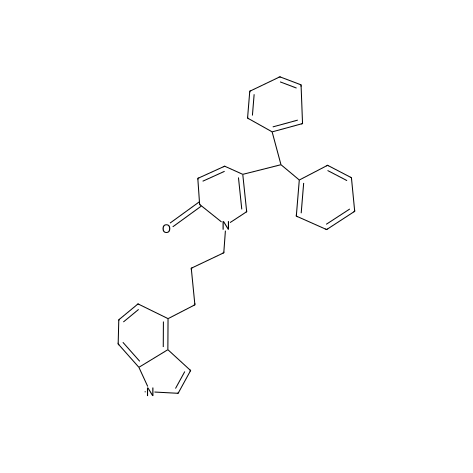 O=c1ccc(C(c2ccccc2)c2ccccc2)cn1CCCc1cccc2c1C=C[N]2